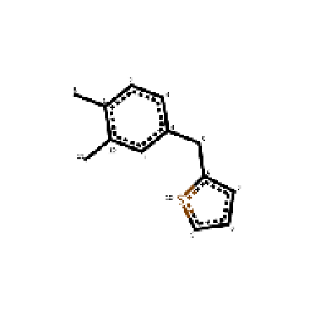 Cc1ccc(Cc2cccs2)cc1C